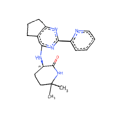 CC1(C)CC[C@@H](Nc2nc(-c3ccccn3)nc3c2CCC3)C(=O)N1